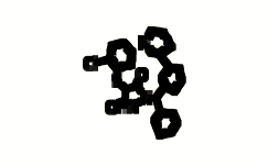 O=C1NN(C(c2ccccc2)c2cccc(-c3cccnc3)c2)C(=O)C1Sc1ccccc1Cl